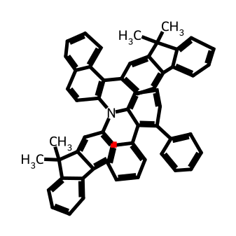 CC1(C)c2ccccc2-c2ccc(-c3c(N(c4ccc5c(c4)C(C)(C)c4ccccc4-5)c4cccc(-c5ccccc5)c4-c4ccccc4)ccc4ccccc34)cc21